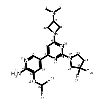 CN(C)C1CN(c2cc(-c3cnc(N)c(OC(F)F)c3)nc(N3CCC(F)(F)C3)n2)C1